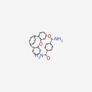 NC(=O)c1ccc(C(N)=O)cc1.c1ccc2c3ccc(cc3)c3ccccc3oc2c1